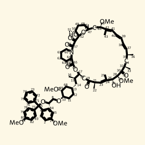 COc1ccc(C(OCCO[C@@H]2CC[C@@H](C[C@@H](C)[C@@H]3CC(=O)[C@H](C)/C=C(\C)[C@@H](O)[C@@H](OC)C(=O)[C@H](C)C[C@H](C)/C=C/C=C/C=C(\C)[C@@H](OC)C[C@@H]4CC[C@@H](C)[C@@](O)(O4)C(=O)C(=O)N4CCCC[C@H]4C(=O)O3)C[C@H]2OC)(c2ccccc2)c2ccc(OC)cc2)cc1